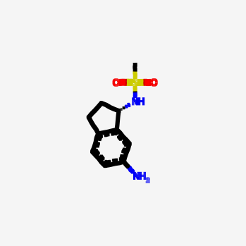 CS(=O)(=O)N[C@H]1CCc2ccc(N)cc21